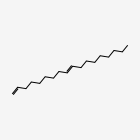 C=CCCCCCCC=CCCCCCCCC